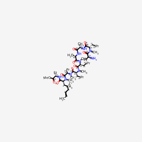 C/C=C/C[C@@H](C)C[C@@H](C(=O)N[C@@H](CC)C(=O)OC)N(C)C(=O)C(C(C)C)N(C)C(=O)[C@H](CC(C)C)N(C)C(=O)[C@H](CC(C)C)N(C)C(=O)[C@@H](C)NC(=O)[C@H](C)NC(=O)[C@H](CC(C)C)N(C)C(=O)C(N)C(C)C